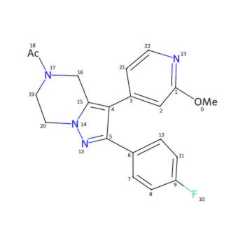 COc1cc(-c2c(-c3ccc(F)cc3)nn3c2CN(C(C)=O)CC3)ccn1